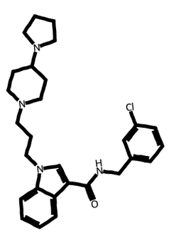 O=C(NCc1cccc(Cl)c1)c1cn(CCCN2CCC(N3CCCC3)CC2)c2ccccc12